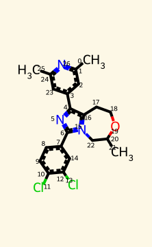 Cc1cc(-c2nc(-c3ccc(Cl)c(Cl)c3)n3c2CCOC(C)C3)cc(C)n1